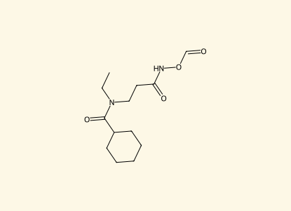 CCN(CCC(=O)NOC=O)C(=O)C1CCCCC1